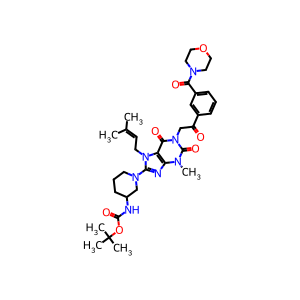 CC(C)=CCn1c(N2CCCC(NC(=O)OC(C)(C)C)C2)nc2c1c(=O)n(CC(=O)c1cccc(C(=O)N3CCOCC3)c1)c(=O)n2C